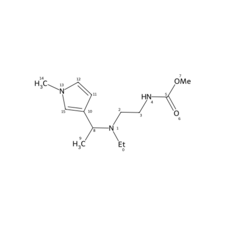 CCN(CCNC(=O)OC)C(C)c1ccn(C)c1